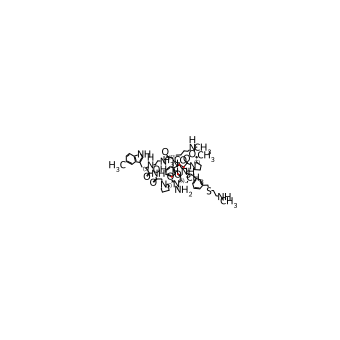 CC[C@@H](C(=O)NC(C(=O)N1CCC[C@H]1C(C)=O)C(C)c1ccccc1)N(N)C(=O)[C@@H]1CCCN1CC(=O)NC(=O)[C@H](Cc1c[nH]c2ccc(C)cc12)NC(=O)CNC(=O)[C@H](CCCCNC)NC(=O)CCSCc1cccc(CSCCNC)c1